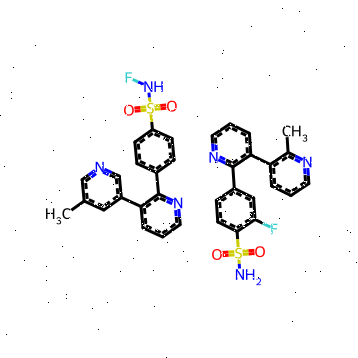 Cc1cncc(-c2cccnc2-c2ccc(S(=O)(=O)NF)cc2)c1.Cc1ncccc1-c1cccnc1-c1ccc(S(N)(=O)=O)c(F)c1